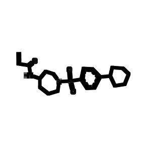 C=CC(=O)NC1CCCN(S(=O)(=O)c2ccc(C3CCCCC3)cc2)CC1